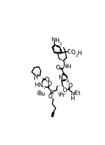 C#CCCCON(C(=O)[C@@H](NC(=O)[C@H]1CCCCN1C)[C@@H](C)CC)[C@H](C[C@@H](OC(=O)NCC)c1nc(C(=O)N[C@@H](Cc2ccc(N)cc2)CC(C)(C)C(=O)O)cs1)C(C)C